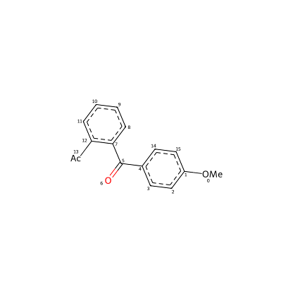 COc1ccc(C(=O)c2ccccc2C(C)=O)cc1